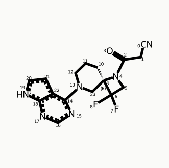 N#CCC(=O)N1CC(F)(F)[C@]12CCCN(c1ncnc3[nH]ccc13)C2